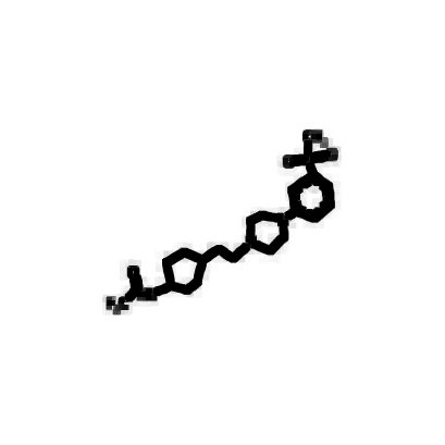 CS(=O)(=O)c1cccc(N2CCN(CCC3CCC(NC(=O)C(F)(F)F)CC3)CC2)c1